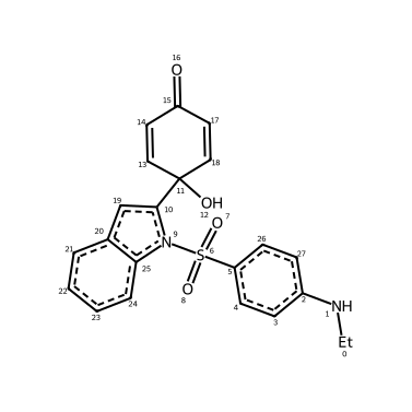 CCNc1ccc(S(=O)(=O)n2c(C3(O)C=CC(=O)C=C3)cc3ccccc32)cc1